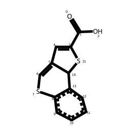 O=C(O)C1=CC2=CSc3ccccc3C2S1